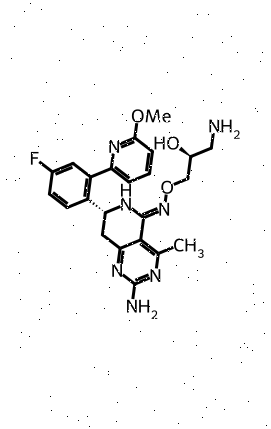 COc1cccc(-c2cc(F)ccc2[C@H]2Cc3nc(N)nc(C)c3/C(=N/OC[C@@H](O)CN)N2)n1